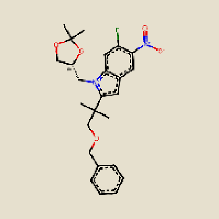 CC1(C)OC[C@@H](Cn2c(C(C)(C)COCc3ccccc3)cc3cc([N+](=O)[O-])c(F)cc32)O1